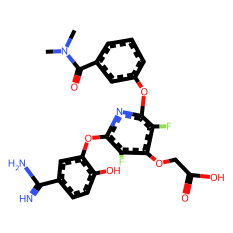 CN(C)C(=O)c1cccc(Oc2nc(Oc3cc(C(=N)N)ccc3O)c(F)c(OCC(=O)O)c2F)c1